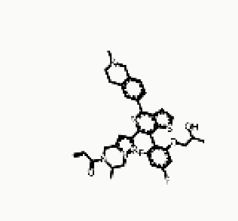 C=CC(=O)N1Cc2cc(-c3nc(-c4ccc5c(c4)CCN(C)C5)c4ccsc4c3-c3c(F)cc(F)cc3OCC(C)O)nn2CC1C